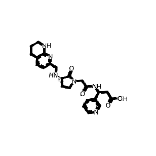 O=C(O)CC(NC(=O)CN1CC[C@H](NCc2ccc3c(n2)NCCC3)C1=O)c1cccnc1